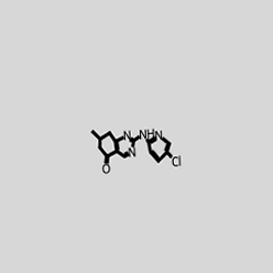 CC1CC(=O)c2cnc(Nc3ccc(Cl)cn3)nc2C1